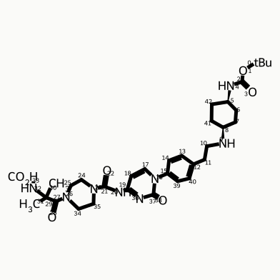 CC(C)(C)OC(=O)N[C@H]1CC[C@@H](NCCc2ccc(-n3ccc(NC(=O)N4CCN(C(=O)C(C)(C)NC(=O)O)CC4)nc3=O)cc2)CC1